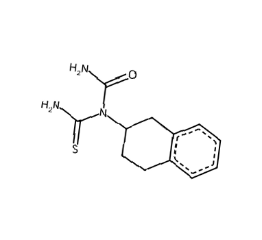 NC(=O)N(C(N)=S)C1CCc2ccccc2C1